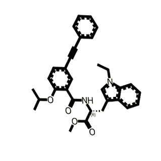 CCn1cc(C[C@@H](NC(=O)c2cc(C#Cc3ccccc3)ccc2OC(C)C)C(=O)OC)c2ccccc21